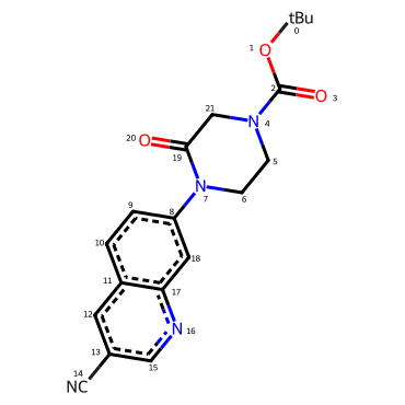 CC(C)(C)OC(=O)N1CCN(c2ccc3cc(C#N)cnc3c2)C(=O)C1